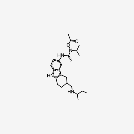 CCC(C)NCC1CCc2[nH]c3ccc(NC(=S)N(OC(C)=O)C(C)C)cc3c2C1